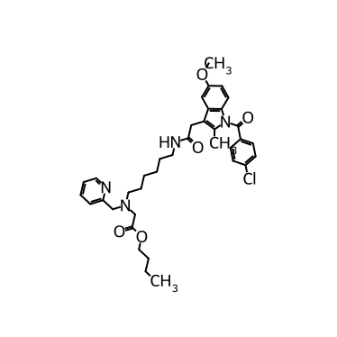 CCCCOC(=O)CN(CCCCCCNC(=O)Cc1c(C)n(C(=O)c2ccc(Cl)cc2)c2ccc(OC)cc12)Cc1ccccn1